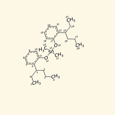 CCCC(CC)c1ccccc1[O][Sn]([CH3])([CH3])[O]c1ccccc1C(CC)CCC